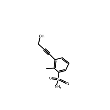 Cc1c(C#CCO)cccc1S(N)(=O)=O